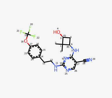 CC1(C)[C@@H](O)C[C@H]1Nc1nc(NCCc2ccc(OC(F)(F)F)cc2)ncc1C#N